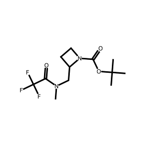 CN(CC1CCN1C(=O)OC(C)(C)C)C(=O)C(F)(F)F